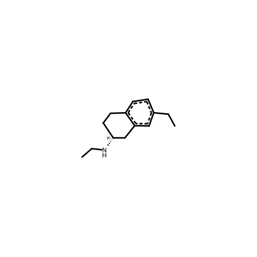 CCN[C@@H]1CCc2ccc(CC)cc2C1